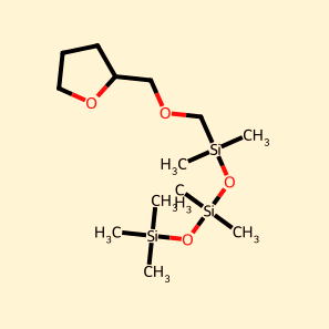 C[Si](C)(C)O[Si](C)(C)O[Si](C)(C)COCC1CCCO1